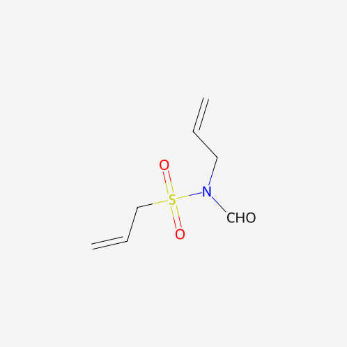 C=CCN(C=O)S(=O)(=O)CC=C